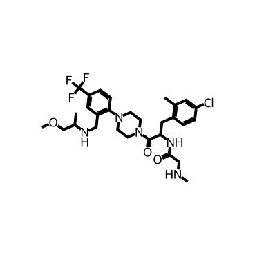 CNCC(=O)NC(Cc1ccc(Cl)cc1C)C(=O)N1CCN(c2ccc(C(F)(F)F)cc2CNC(C)COC)CC1